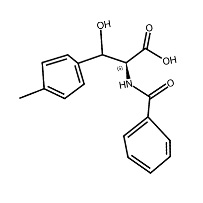 Cc1ccc(C(O)[C@H](NC(=O)c2ccccc2)C(=O)O)cc1